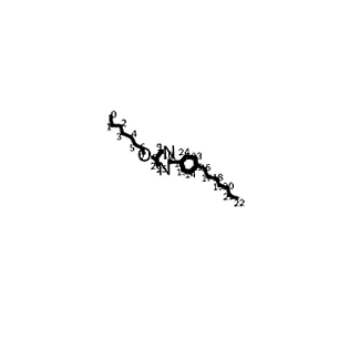 CCCCCCCOc1cnc(-c2ccc(CCCCCCC)cc2)nc1